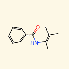 CC(C)=C(C)NC(=O)c1ccccc1